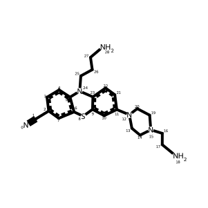 N#Cc1ccc2c(c1)Sc1cc(N3CCN(CCN)CC3)ccc1N2CCCN